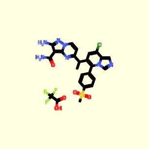 CC(c1ccn2nc(N)c(C(N)=O)c2n1)c1cc(Cl)c2cncn2c1-c1ccc(S(C)(=O)=O)cc1.O=C(O)C(F)(F)F